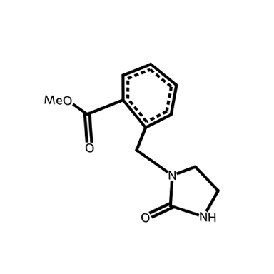 COC(=O)c1ccccc1CN1CCNC1=O